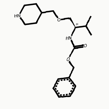 CC(C)[C@H](COCC1CCNCC1)NC(=O)OCc1ccccc1